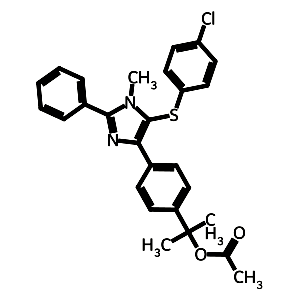 CC(=O)OC(C)(C)c1ccc(-c2nc(-c3ccccc3)n(C)c2Sc2ccc(Cl)cc2)cc1